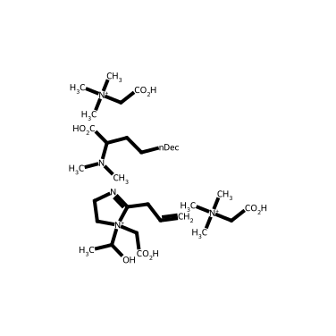 C=CCC1=NCC[N+]1(CC(=O)O)C(C)O.CCCCCCCCCCCCC(C(=O)O)N(C)C.C[N+](C)(C)CC(=O)O.C[N+](C)(C)CC(=O)O